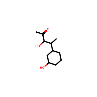 CC(=O)C(O)C(C)C1CCCC(O)C1